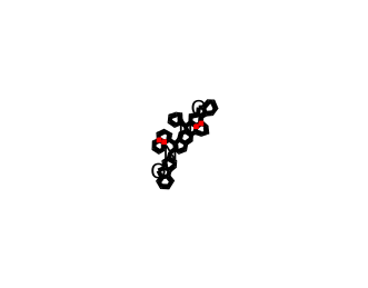 c1ccc(-c2cc3ccc(N(c4ccccc4)c4ccc5c(c4)oc4ccccc45)c(-c4ccccc4)c3cc2N(c2ccccc2)c2ccc3c(c2)oc2ccccc23)cc1